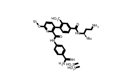 CCOc1ccc(-c2ccc(C(=O)N[C@@H](CCN)C(C)(C)C)cc2C(=O)O)c(C(=O)Nc2ccc(C(=N)N)cc2)n1.CS(=O)(=O)O.CS(=O)(=O)O